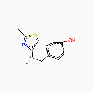 Cc1nc([C@@H](C)Cc2ccc(O)cc2)cs1